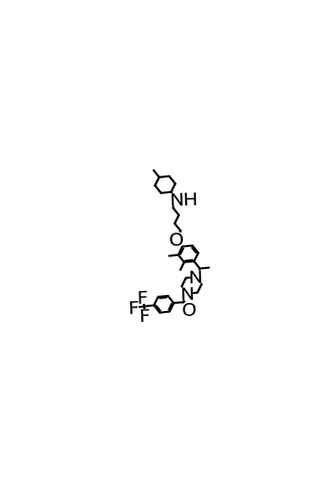 Cc1c(OCCCCNC2CCC(C)CC2)ccc(C(C)N2CCN(C(=O)c3ccc(C(F)(F)F)cc3)CC2)c1C